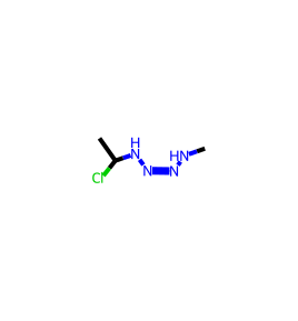 CN/N=N\NC(C)Cl